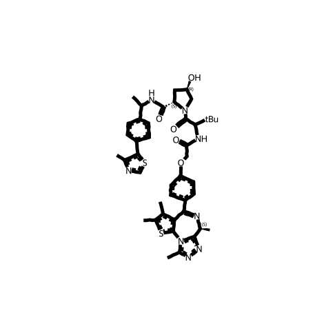 Cc1ncsc1-c1ccc(C(C)NC(=O)[C@@H]2C[C@@H](O)CN2C(=O)C(NC(=O)COc2ccc(C3=N[C@@H](C)c4nnc(C)n4-c4sc(C)c(C)c43)cc2)C(C)(C)C)cc1